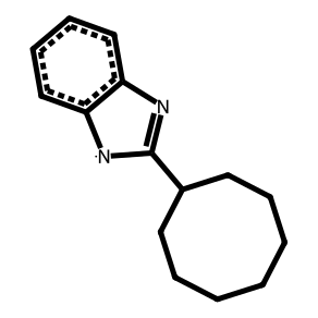 c1ccc2c(c1)[N]C(C1CCCCCCC1)=N2